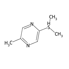 Cc1cnc([SH](C)C)cn1